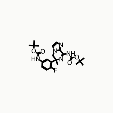 CC(C)(C)OC(=O)NC1=NC(C)(c2cc(NC(=O)OC(C)(C)C)ccc2F)Cn2ccnc21